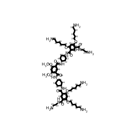 COc1cc(OC)c(C(=O)N[C@H]2CC[C@@H](NC(=O)c3cc(C(=O)NCCN)c(OCCCCCN)cc3OCCCCCN)CC2)cc1C(=O)N[C@H]1CC[C@@H](NC(=O)c2cc(C(=O)NCCN)c(OCCCCCN)cc2OCCCCCN)CC1